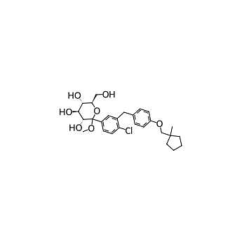 COC1(c2ccc(Cl)c(Cc3ccc(OCC4(C)CCCC4)cc3)c2)O[C@H](CO)[C@@H](O)[C@H](O)[C@H]1O